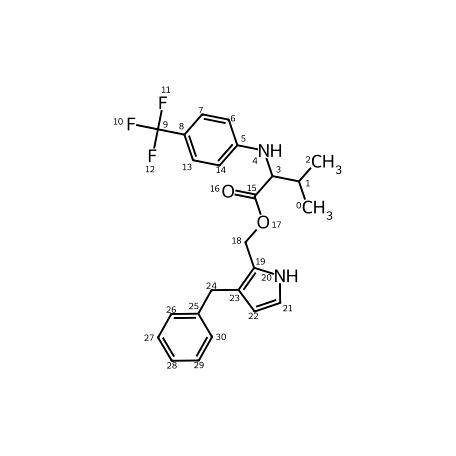 CC(C)C(Nc1ccc(C(F)(F)F)cc1)C(=O)OCc1[nH]ccc1Cc1ccccc1